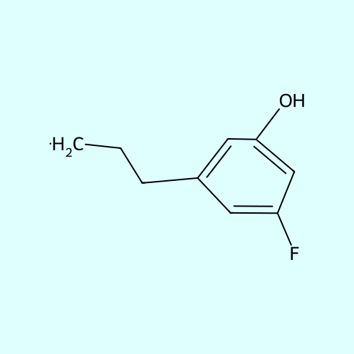 [CH2]CCc1cc(O)cc(F)c1